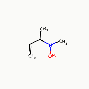 C=CC(C)N(C)O